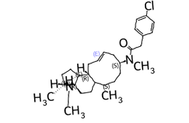 C[C@H]1CC[C@H](N(C)C(=O)Cc2ccc(Cl)cc2)C/C=C/C[C@@H]2C1CC[C@]13CN(C)[C@@H](C)[C@H]1CC[C@@H]23